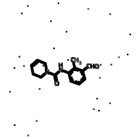 Cc1c(C=O)cccc1NC(=O)N1CC=CCC1